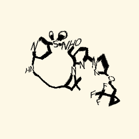 CC1(C)CC2CCCCNc3ccc(cn3)S(=O)(=O)NC(=O)c3ccc(-n4ccc(OCCC5(C(F)(F)F)CC5)n4)nc3N1C2